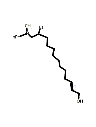 CCCN(C)CC(CC)CCCCCCCC/C=C/CO